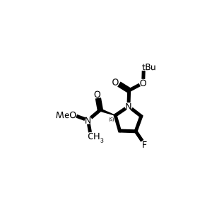 CON(C)C(=O)[C@@H]1CC(F)CN1C(=O)OC(C)(C)C